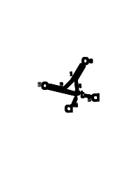 O=[C]1[C](=O)[Pt]1([Cl])[Cl]